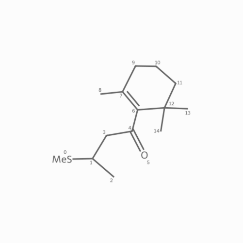 CSC(C)CC(=O)C1=C(C)CCCC1(C)C